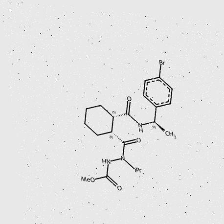 COC(=O)NN(C(=O)[C@@H]1CCCC[C@@H]1C(=O)N[C@H](C)c1ccc(Br)cc1)C(C)C